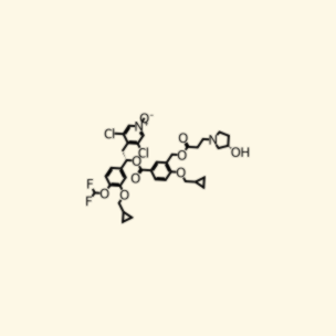 O=C(CCN1CC[C@H](O)C1)OCc1cc(C(=O)O[C@@H](Cc2c(Cl)c[n+]([O-])cc2Cl)c2ccc(OC(F)F)c(OCC3CC3)c2)ccc1OCC1CC1